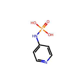 O=P(O)(O)Nc1ccncc1